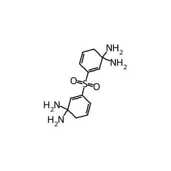 NC1(N)C=C(S(=O)(=O)C2=CC(N)(N)CC=C2)C=CC1